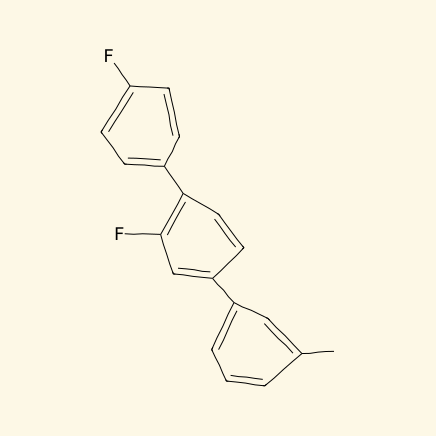 Cc1cccc(-c2ccc(-c3ccc(F)cc3)c(F)c2)c1